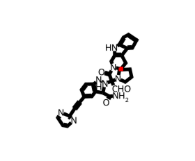 NC(=O)C1c2cc(C#Cc3ncccn3)ccc2NN1C(C=O)(C(=O)N1CCc2c([nH]c3ccccc23)C1)N1CCCC1